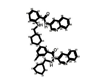 Cc1cccc(C(=O)N(NCC2CCCCC2)c2cnc3ccccc3c2)c1.O=C(Nc1cnc2ccccc2c1)c1ccccc1NCC1CCCCC1